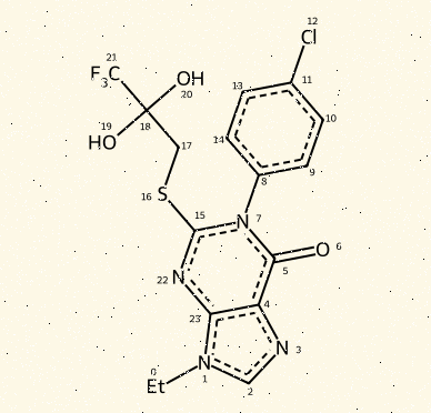 CCn1cnc2c(=O)n(-c3ccc(Cl)cc3)c(SCC(O)(O)C(F)(F)F)nc21